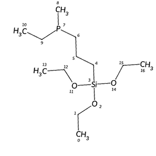 CCO[Si](CCCP(C)CC)(OCC)OCC